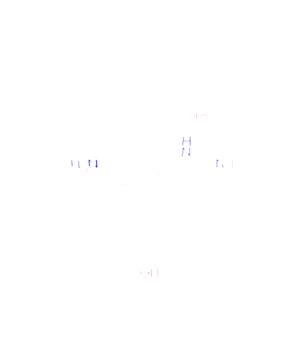 CC(O)CC1(N[NH])CCC(O)CC1N